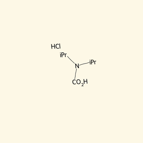 CC(C)N(C(=O)O)C(C)C.Cl